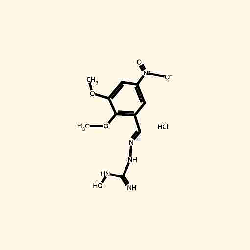 COc1cc([N+](=O)[O-])cc(/C=N/NC(=N)NO)c1OC.Cl